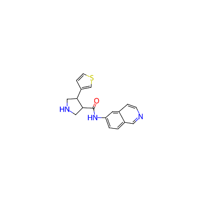 O=C(Nc1ccc2cnccc2c1)C1CNCC1c1ccsc1